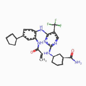 C=CC(=O)Nc1cc(C2CCCC2)ccc1Nc1nc(N[C@@H]2CCC[C@H](C(N)=O)C2)ncc1C(F)(F)F